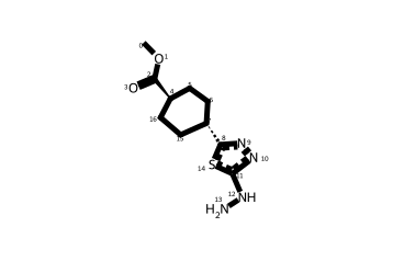 COC(=O)[C@H]1CC[C@H](c2nnc(NN)s2)CC1